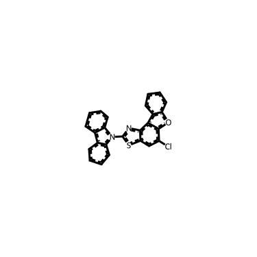 Clc1cc2sc(-n3c4ccccc4c4ccccc43)nc2c2c1oc1ccccc12